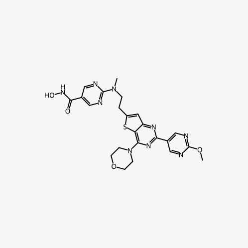 COc1ncc(-c2nc(N3CCOCC3)c3sc(CCN(C)c4ncc(C(=O)NO)cn4)cc3n2)cn1